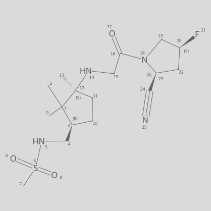 CC1(C)[C@H](CNS(C)(=O)=O)CC[C@]1(C)NCC(=O)N1C[C@@H](F)C[C@H]1C#N